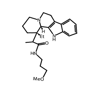 CC[C@@]1(C(C)C(=O)NCCCOC)CCCN2CCc3c([nH]c4ccccc34)[C@@H]21